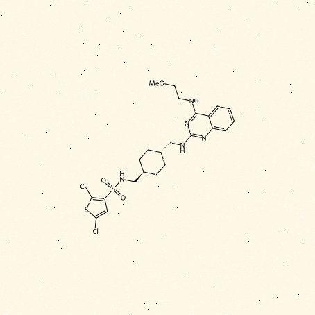 COCCNc1nc(NC[C@H]2CC[C@H](CNS(=O)(=O)c3cc(Cl)sc3Cl)CC2)nc2ccccc12